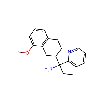 CCC(N)(c1ccccn1)C1CCc2cccc(OC)c2C1